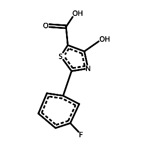 O=C(O)c1sc(-c2cccc(F)c2)nc1O